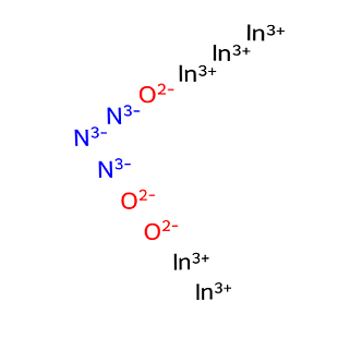 [In+3].[In+3].[In+3].[In+3].[In+3].[N-3].[N-3].[N-3].[O-2].[O-2].[O-2]